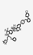 CC1(C)CN(CCC(CSc2ccccc2)Nc2ccc(S(=O)(=O)Nc3ncnc4cc(N5CCN(Cc6ccccc6-c6ccc(Cl)cc6)CC5)ccc34)cc2C(F)(F)F)C=N1